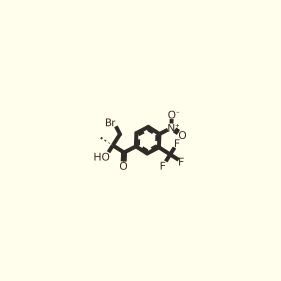 C[C@](O)(CBr)C(=O)c1ccc([N+](=O)[O-])c(C(F)(F)F)c1